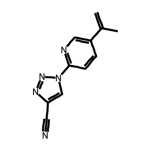 C=C(C)c1ccc(-n2cc(C#N)nn2)nc1